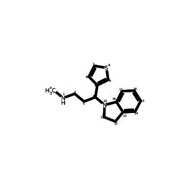 CNCCC(c1ccsc1)N1CCc2ccccc21